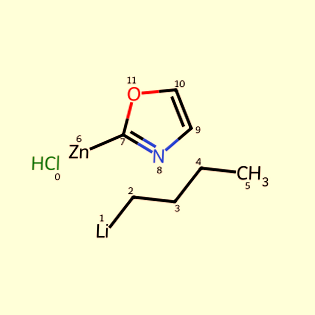 Cl.[Li][CH2]CCC.[Zn][c]1ncco1